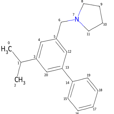 CC(C)c1cc(CN2CCCC2)cc(-c2ccccc2)c1